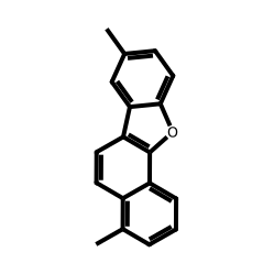 Cc1ccc2oc3c4cccc(C)c4ccc3c2c1